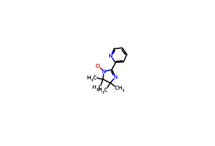 CC1(C)N=C(c2ccccn2)N([O])C1(C)C